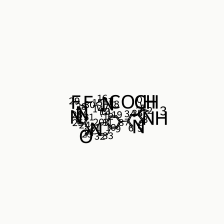 Cc1c[nH]c2ncc(-c3cc4c(c([C@@H]5CCCN5C(=O)O)c3)CN(C(=O)c3cnn(C(F)F)c3)CC4)cc12